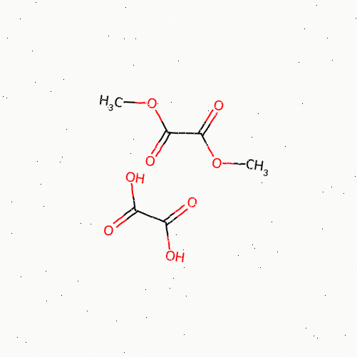 COC(=O)C(=O)OC.O=C(O)C(=O)O